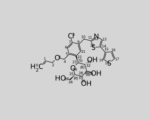 C=CCOCc1cc(Cl)c(Cc2ncc(-c3ccsc3)s2)cc1[C@@H]1O[C@H](CO)[C@@H](O)[C@H](O)[C@H]1O